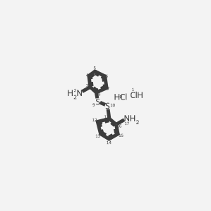 Cl.Cl.Nc1ccccc1SSc1ccccc1N